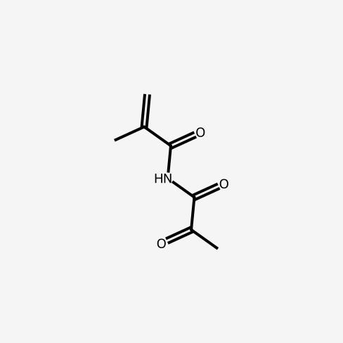 C=C(C)C(=O)NC(=O)C(C)=O